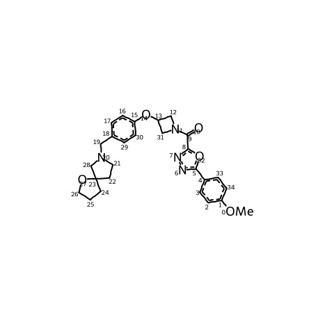 COc1ccc(-c2nnc(C(=O)N3CC(Oc4ccc(CN5CCC6(CCCO6)C5)cc4)C3)o2)cc1